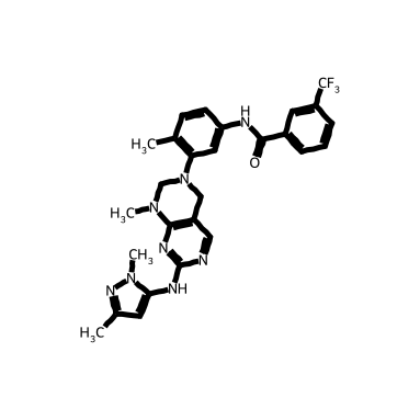 Cc1cc(Nc2ncc3c(n2)N(C)CN(c2cc(NC(=O)c4cccc(C(F)(F)F)c4)ccc2C)C3)n(C)n1